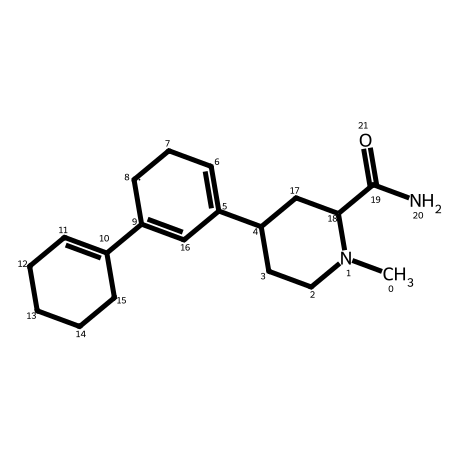 CN1CCC(C2=CC[CH]C(C3=CCCCC3)=C2)CC1C(N)=O